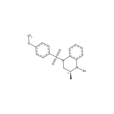 CC(=O)N1c2ccccc2N(S(=O)(=O)c2ccc(OC(F)(F)F)cc2)C[C@@H]1C